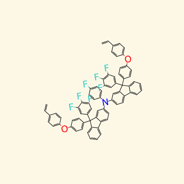 C=Cc1ccc(Oc2ccc(C3(c4cc(F)c(F)c(F)c4)c4ccccc4-c4ccc(N(c5ccc(F)cc5)c5ccc6c(c5)C(c5ccc(Oc7ccc(C=C)cc7)cc5)(c5cc(F)c(F)c(F)c5)c5ccccc5-6)cc43)cc2)cc1